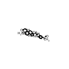 CN(C=O)c1ccc2[nH]c(C[C@H]3CC[C@H]4[C@@H]5CC[C@H]6N(C)C(=O)C=C[C@]6(C)[C@H]5CC[C@]34C)nc2c1